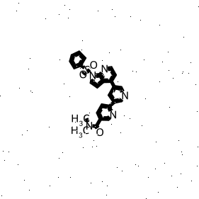 CN(C)C(=O)c1ccc(-c2cncc(-c3ccnc4c3ccn4S(=O)(=O)c3ccccc3)c2)nc1